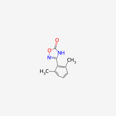 Cc1cccc(C)c1-c1noc(=O)[nH]1